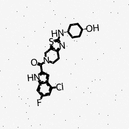 O=C(c1cc2c(Cl)cc(F)cc2[nH]1)N1CCc2nc(N[C@H]3CC[C@@H](O)CC3)sc2C1